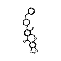 O=C1c2cc3c(cc2OCc2c1ccc(N1CCC(Cc4ccccc4)CC1)c2F)OCO3